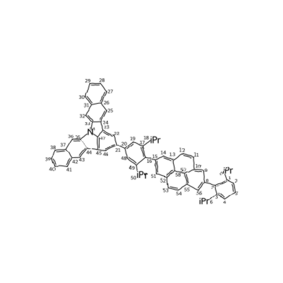 CC(C)c1cccc(C(C)C)c1-c1cc2ccc3cc(-c4c(C(C)C)cc(-c5cc6c7cc8ccccc8cc7n7c8cc9ccccc9cc8c(c5)c67)cc4C(C)C)cc4ccc(c1)c2c34